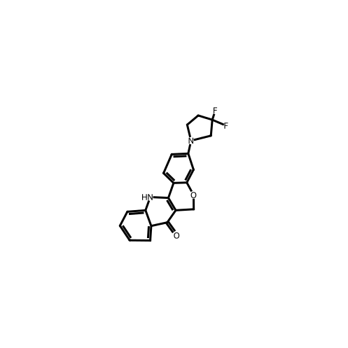 O=c1c2c([nH]c3ccccc13)-c1ccc(N3CCC(F)(F)C3)cc1OC2